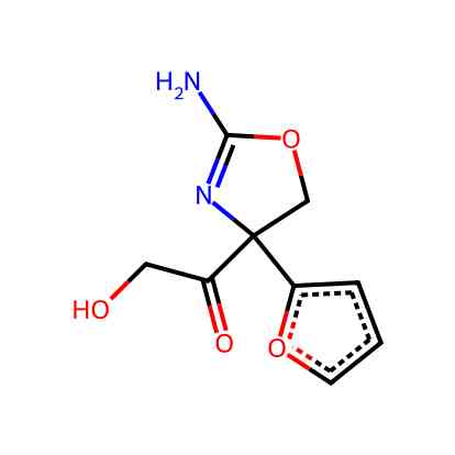 NC1=NC(C(=O)CO)(c2ccco2)CO1